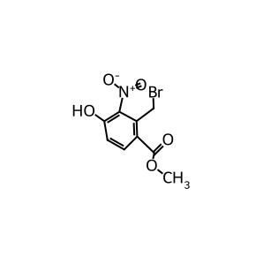 COC(=O)c1ccc(O)c([N+](=O)[O-])c1CBr